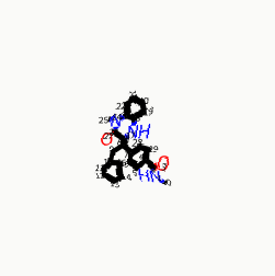 CNC(=O)c1ccc(/C(Cc2ccccc2)=C2\Nc3ccccc3N(C)C2=O)cc1